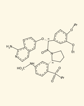 CCOc1cc([C@@H](Oc2ccc3c(N)nccc3c2)C(=O)N2CCC[C@@H]2c2cc(NC(=O)O)ccc2S(=O)(=O)C(C)C)ccc1OC(C)C